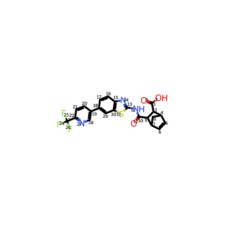 O=C(O)C1C2C=CC(C2)C1C(=O)Nc1nc2ccc(-c3ccc(C(F)(F)F)nc3)cc2s1